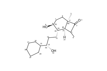 CC1C(=O)[C@]2(C)CC[C@H](O)[C@@H](CC[C@H](O)C3CCCCC3)[C@H]12